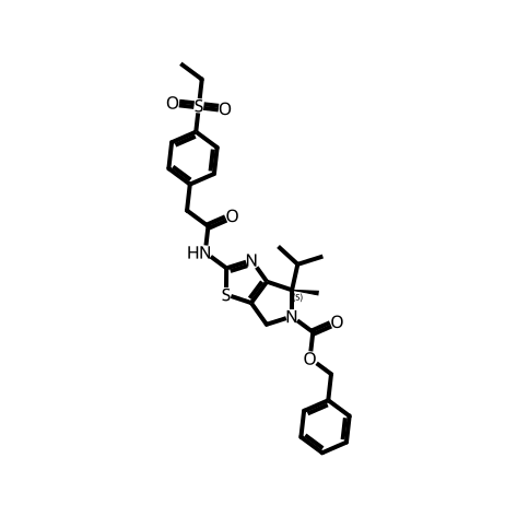 CCS(=O)(=O)c1ccc(CC(=O)Nc2nc3c(s2)CN(C(=O)OCc2ccccc2)[C@@]3(C)C(C)C)cc1